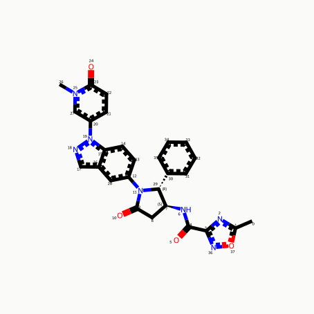 Cc1nc(C(=O)N[C@H]2CC(=O)N(c3ccc4c(cnn4-c4ccc(=O)n(C)c4)c3)[C@@H]2c2ccccc2)no1